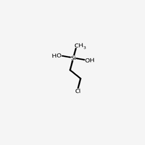 C[Si](O)(O)CCCl